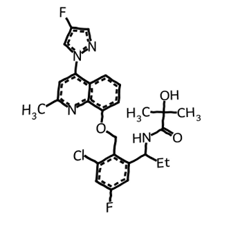 CCC(NC(=O)C(C)(C)O)c1cc(F)cc(Cl)c1COc1cccc2c(-n3cc(F)cn3)cc(C)nc12